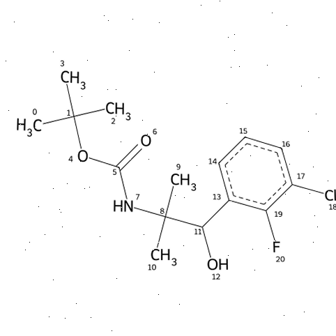 CC(C)(C)OC(=O)NC(C)(C)C(O)c1cccc(Cl)c1F